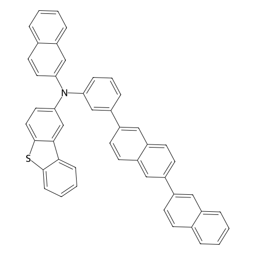 c1cc(-c2ccc3cc(-c4ccc5ccccc5c4)ccc3c2)cc(N(c2ccc3ccccc3c2)c2ccc3sc4ccccc4c3c2)c1